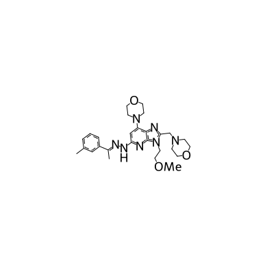 COCCn1c(CN2CCOCC2)nc2c(N3CCOCC3)cc(N/N=C(\C)c3cccc(C)c3)nc21